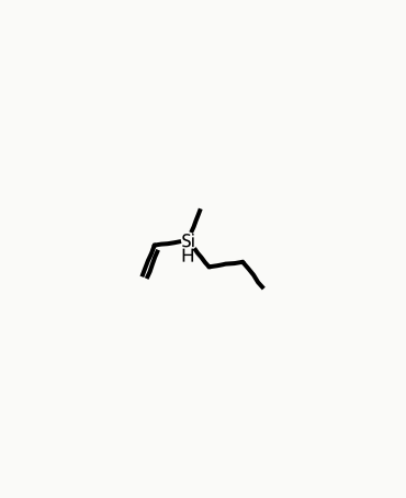 C=C[SiH](C)CCC